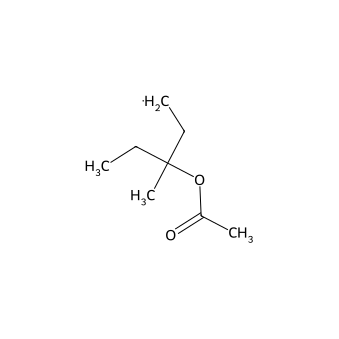 [CH2]CC(C)(CC)OC(C)=O